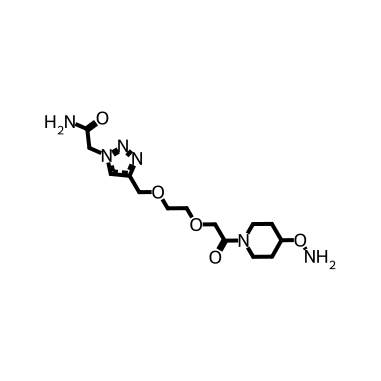 NOC1CCN(C(=O)COCCOCc2cn(CC(N)=O)nn2)CC1